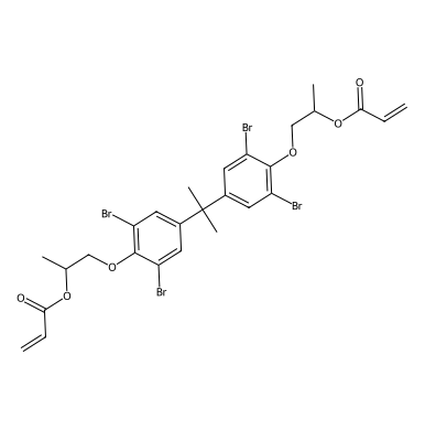 C=CC(=O)OC(C)COc1c(Br)cc(C(C)(C)c2cc(Br)c(OCC(C)OC(=O)C=C)c(Br)c2)cc1Br